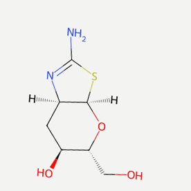 NC1=N[C@@H]2C[C@H](O)[C@@H](CO)O[C@@H]2S1